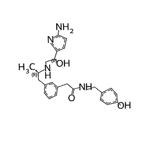 C[C@H](Cc1cccc(CC(=O)NCCc2ccc(O)cc2)c1)NC[C@H](O)c1ccc(N)nc1